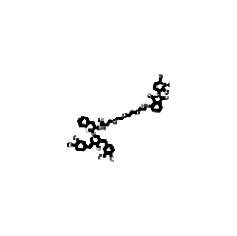 O=C1CCC(N2C(=O)c3cccc(NCCOCCOCCOCCC(=O)NC(Cc4ccccc4)C(=O)N4CC(=Cc5ccc(Cl)c(Cl)c5)C(=O)C(=Cc5ccc(Cl)c(Cl)c5)C4)c3C2=O)C(=O)N1